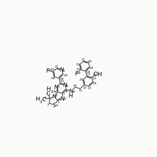 CC1(C)CSc2nc3c(NCCc4ccc(O)c(-c5ccccc5F)c4)nc(-c4cncc(F)c4)nc3n21